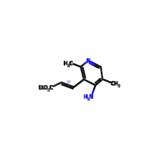 CCOC(=O)/C=C/c1c(C)ncc(C)c1N